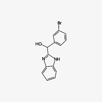 OC(c1cccc(Br)c1)c1nc2ccccc2[nH]1